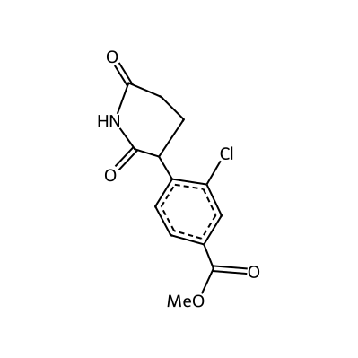 COC(=O)c1ccc(C2CCC(=O)NC2=O)c(Cl)c1